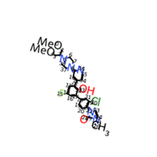 COCC(COC)N1CCN(c2cc(-c3cc(F)cc(-c4ccc(-n5ccn(C)c5=O)c(Cl)c4)c3O)ccn2)CC1